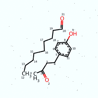 CC(=O)CCc1ccc(O)cc1.CCCCCCCCC=O